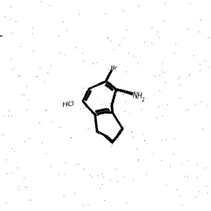 Cl.Nc1c(Br)ccc2c1CCC2